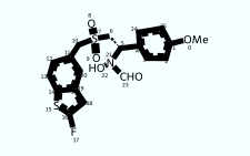 COc1ccc([C@@H](CS(=O)(=O)Cc2ccc3sc(F)cc3c2)N(O)C=O)cc1